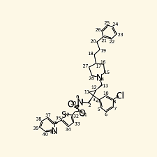 CN(C[C@@]1(c2cccc(Cl)c2)C[C@H]1CN1CCC(CCCc2ccccc2)CC1)S(=O)(=O)c1ccc(-c2ccccn2)s1